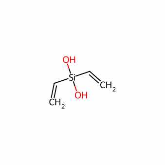 C=C[Si](O)(O)C=C